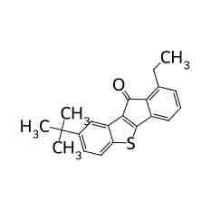 CCc1cccc2c1C(=O)c1c-2sc2ccc(C(C)(C)C)cc12